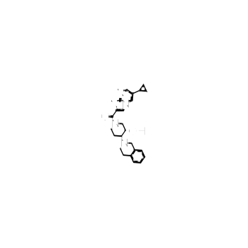 O=C(c1cn2cc(C3CC3)cnc2n1)N1CC[C@H](N2CCc3ccccc3C2)[C@@H](O)C1